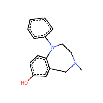 CN1CCN(c2ccccc2)c2ccc(O)cc2C1